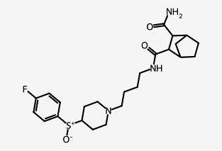 NC(=O)C1C2CCC(C2)C1C(=O)NCCCCN1CCC([S+]([O-])c2ccc(F)cc2)CC1